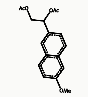 COc1ccc2cc(C(COC(C)=O)OC(C)=O)ccc2c1